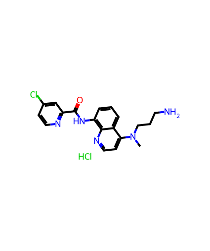 CN(CCCN)c1ccnc2c(NC(=O)c3cc(Cl)ccn3)cccc12.Cl